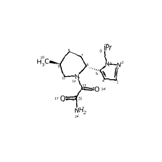 CC(C)n1nccc1[C@H]1CC[C@H](C)CN1C(=O)C(N)=O